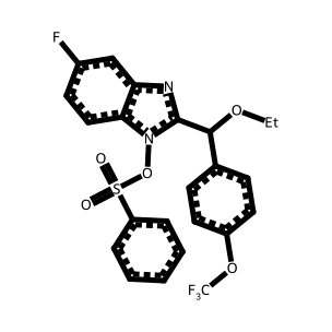 CCOC(c1ccc(OC(F)(F)F)cc1)c1nc2cc(F)ccc2n1OS(=O)(=O)c1ccccc1